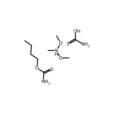 CCCCOC(N)=S.CO[SiH](C)OC.NC(O)=S